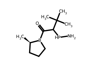 C[C@@H]1CCCB1C(=O)C(PN)C(C)(C)C